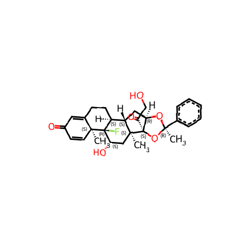 C[C@@]1(c2ccccc2)O[C@@H]2C[C@H]3[C@@H]4CCC5=CC(=O)C=C[C@]5(C)[C@@]4(F)[C@@H](O)C[C@]3(C)[C@]2(C(=O)CO)O1